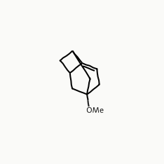 COC12CC=C3C(CC3C1)C2